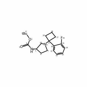 CC(C)(C)OC(=O)NC1CCN(C2(c3ccccc3F)CCC2)C1